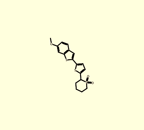 COc1ccc2cc(-c3ccc([C]4CCCCS4(=O)=O)s3)sc2c1